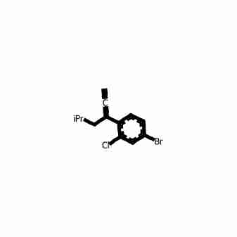 C=C=C(CC(C)C)c1ccc(Br)cc1Cl